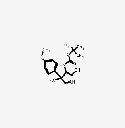 CCC(O)(c1ccc(OC)cc1)C(CO)NC(=O)OC(C)(C)C